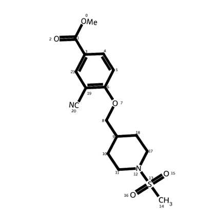 COC(=O)c1ccc(OCC2CCN(S(C)(=O)=O)CC2)c(C#N)c1